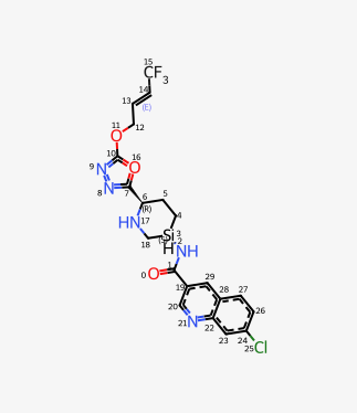 O=C(N[Si@H]1CC[C@H](c2nnc(OC/C=C/C(F)(F)F)o2)NC1)c1cnc2cc(Cl)ccc2c1